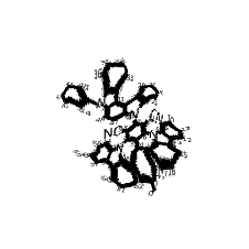 Cc1ccc(-c2c(-n3c4ccccc4c4ccccc43)c(C#N)c(-n3c4ccccc4c4c5c6ccccc6n(-c6ccccc6)c5ccc43)c(C#N)c2-n2c3ccccc3c3ccccc32)cc1